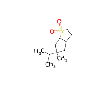 CC(C)C1(C)CC2CCS(=O)(=O)C2C1